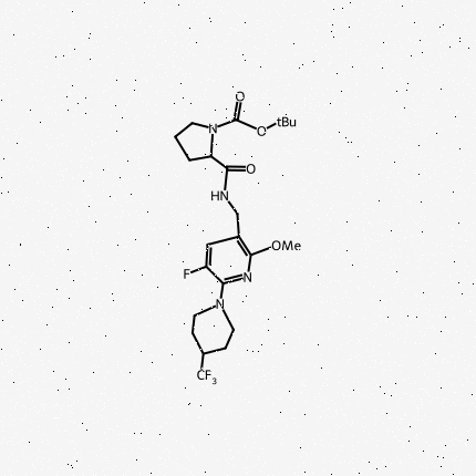 COc1nc(N2CCC(C(F)(F)F)CC2)c(F)cc1CNC(=O)C1CCCN1C(=O)OC(C)(C)C